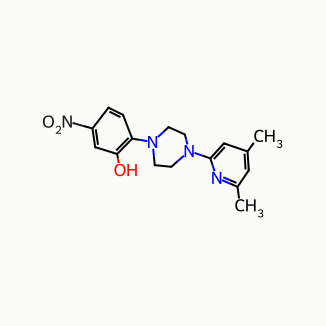 Cc1cc(C)nc(N2CCN(c3ccc([N+](=O)[O-])cc3O)CC2)c1